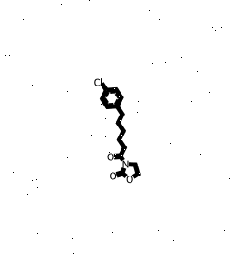 O=C(CCCCCc1ccc(Cl)cc1)N1CCOC1=O